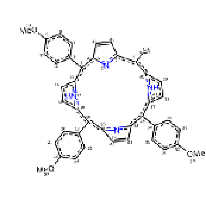 CCc1c2nc(c(-c3ccc(OC)cc3)c3ccc([nH]3)c(-c3ccc(OC)cc3)c3nc(c(-c4ccc(OC)cc4)c4ccc1[nH]4)C=C3)C=C2